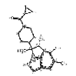 CC1(C2CCN(C(=O)C3CC3)CC2)[C@H](O)c2c(F)c(Cl)cc3cnn1c23